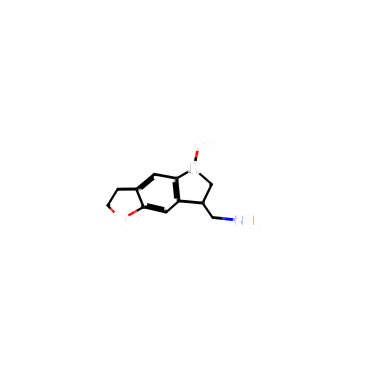 NCC1CB(O)c2cc3c(cc21)OCC3